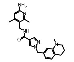 Cc1cc(N)nc(C)c1CNC(=O)c1cnn(Cc2ccc3c(c2)N(C)CCC3)c1